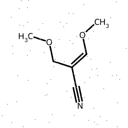 CO/C=C(/C#N)COC